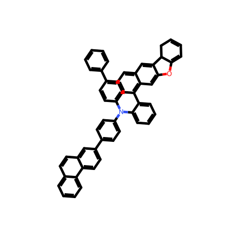 C1=CCC2C(=C1)Oc1cc3c(-c4ccccc4N(c4ccc(-c5ccccc5)cc4)c4ccc(-c5ccc6c(ccc7ccccc76)c5)cc4)cccc3cc12